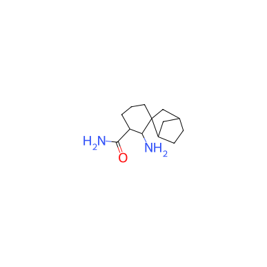 NC(=O)C1CCCC2(CC3CCC2C3)C1N